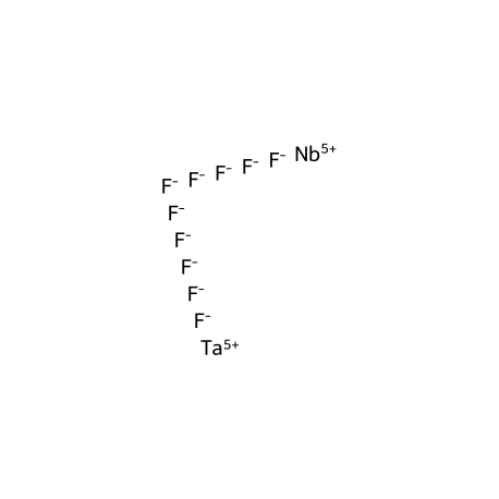 [F-].[F-].[F-].[F-].[F-].[F-].[F-].[F-].[F-].[F-].[Nb+5].[Ta+5]